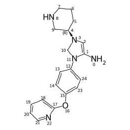 NC1=CN([C@@H]2CCCNC2)CN1c1ccc(Oc2ccccn2)cc1